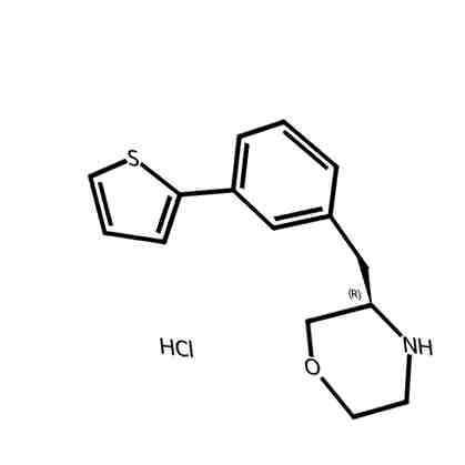 Cl.c1cc(C[C@@H]2COCCN2)cc(-c2cccs2)c1